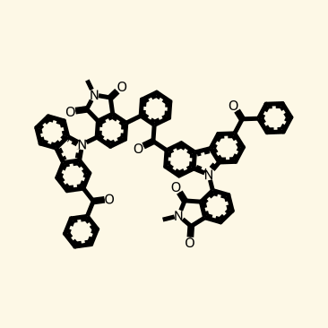 CN1C(=O)c2cccc(-n3c4ccc(C(=O)c5ccccc5)cc4c4cc(C(=O)c5ccccc5-c5ccc(-n6c7ccccc7c7ccc(C(=O)c8ccccc8)cc76)c6c5C(=O)N(C)C6=O)ccc43)c2C1=O